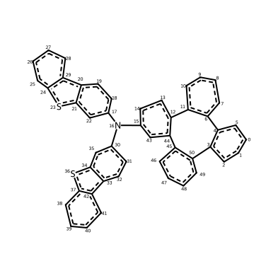 c1ccc2c(c1)-c1ccccc1-c1ccc(N(c3ccc4c(c3)sc3ccccc34)c3ccc4c(c3)sc3ccccc34)cc1-c1ccccc1-2